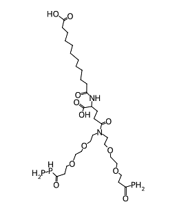 O=C(O)CCCCCCCCCCC(=O)NC(CCC(=O)N(CCOCCOCCC(=O)P)CCOCCOCCC(=O)PP)C(=O)O